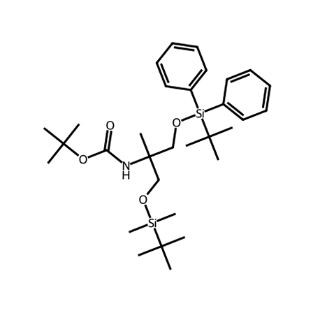 CC(CO[Si](C)(C)C(C)(C)C)(CO[Si](c1ccccc1)(c1ccccc1)C(C)(C)C)NC(=O)OC(C)(C)C